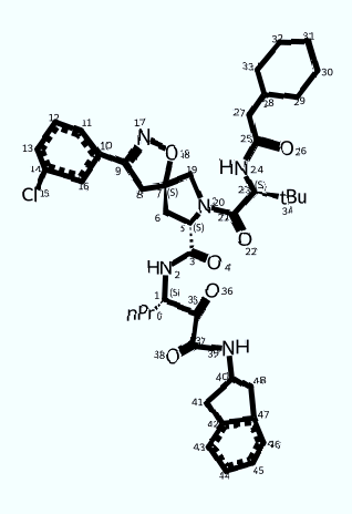 CCC[C@H](NC(=O)[C@@H]1C[C@]2(CC(c3cccc(Cl)c3)=NO2)CN1C(=O)[C@@H](NC(=O)CC1CCCCC1)C(C)(C)C)C(=O)C(=O)NC1Cc2ccccc2C1